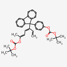 C=C/C(=C\C=C(/C)OC(=O)OC(C)(C)C)C1(c2ccc(OC(=O)OC(C)(C)C)cc2)c2ccccc2-c2ccccc21